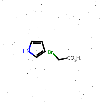 O=C(O)CBr.c1cc[nH]c1